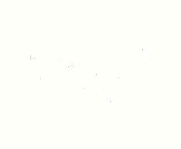 CC(C)(C)OC(=O)NC(CO)COc1noc2ccc(N)cc12